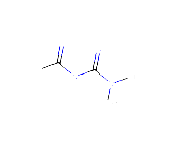 CON(C)C(=N)NC(C)=N